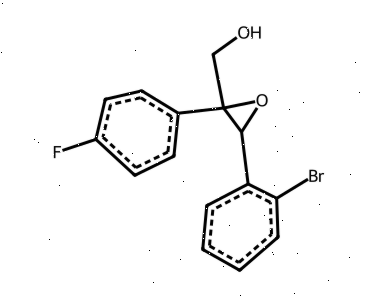 OCC1(c2ccc(F)cc2)OC1c1ccccc1Br